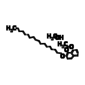 CCCCCCCCCCCCCCCCCCOc1ccc2ccccc2c1OC(C)=O.CO